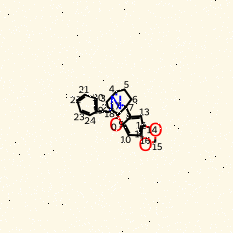 O=C1CCC2CCC1(c1ccc3c(c1)OCO3)N2Cc1ccccc1